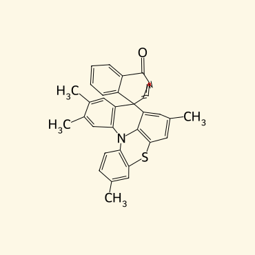 Cc1ccc2c(c1)Sc1cc(C)cc3c1N2c1cc(C)c(C)cc1C31c2ccccc2C(=O)c2ccccc21